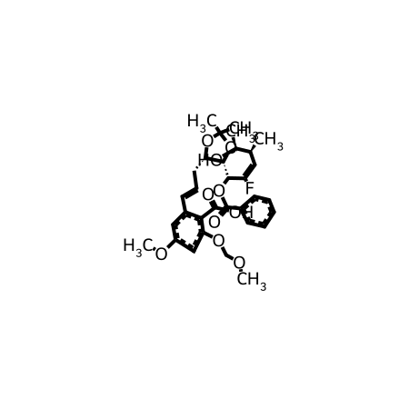 COCOc1cc(OC)cc(/C=C/C[C@@H]2OC(C)(C)O[C@@H]2C(OC(=O)c2ccccc2)/C(F)=C\[C@H](C)[C@H](C)O)c1C(=O)O